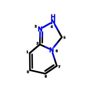 C1=CC2=NNCN2C=C1